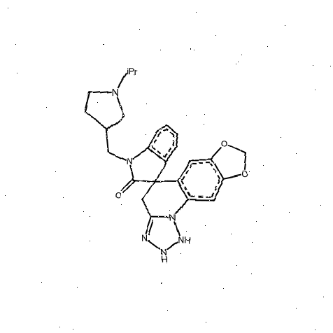 CC(C)N1CCC(CN2C(=O)C3(CC4=NNNN4c4cc5c(cc43)OCO5)c3ccccc32)C1